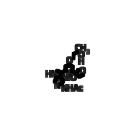 CO[C@@]1(c2cc(OCCC(C)O)cc(-c3c[nH]c4cnc(NC(C)=O)cc34)n2)CCOC1